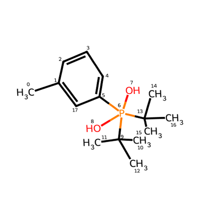 Cc1cccc(P(O)(O)(C(C)(C)C)C(C)(C)C)c1